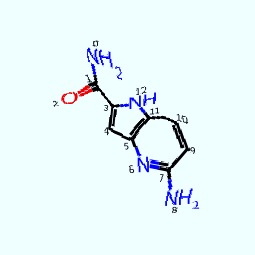 NC(=O)c1cc2nc(N)ccc2[nH]1